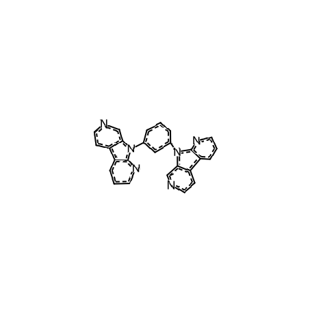 c1cc(-n2c3cnccc3c3cccnc32)cc(-n2c3cnccc3c3cccnc32)c1